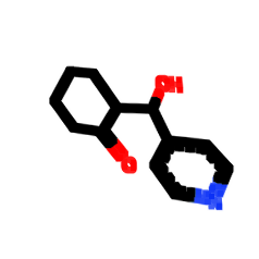 O=C1CCCCC1C(O)c1ccncc1